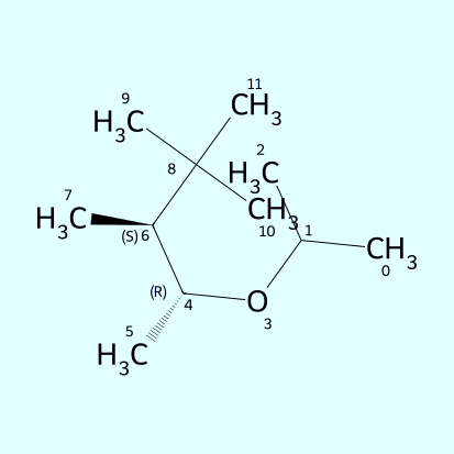 CC(C)O[C@H](C)[C@@H](C)C(C)(C)C